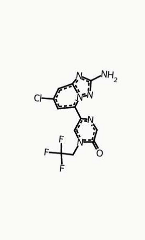 Nc1nc2cc(Cl)cc(-c3cn(CC(F)(F)F)c(=O)cn3)n2n1